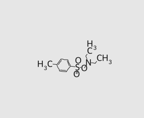 CCN(CC)OS(=O)(=O)c1ccc(C)cc1